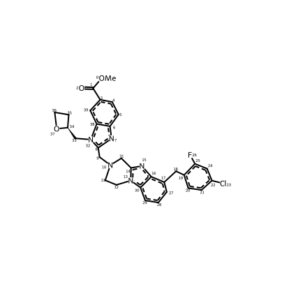 COC(=O)c1ccc2nc(CN3CCn4c(nc5c(Cc6ccc(Cl)cc6F)cccc54)C3)n(C[C@@H]3CCO3)c2c1